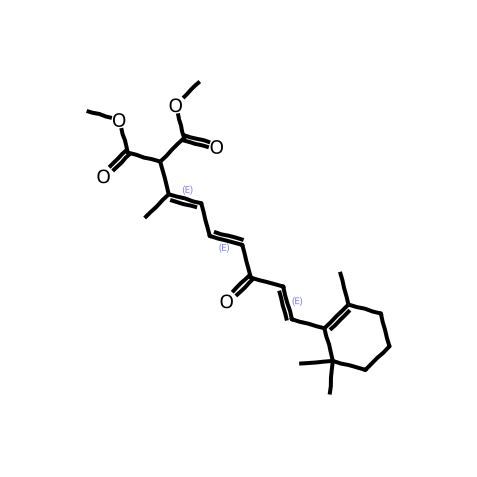 COC(=O)C(C(=O)OC)/C(C)=C/C=C/C(=O)/C=C/C1=C(C)CCCC1(C)C